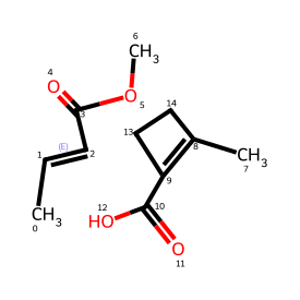 C/C=C/C(=O)OC.CC1=C(C(=O)O)CC1